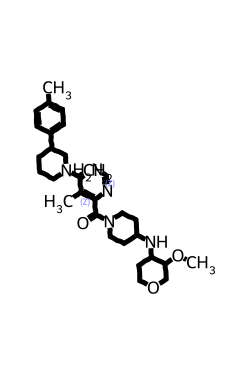 C=C(/C(C)=C(\N=C/N)C(=O)N1CCC(NC2CCOCC2OC)CC1)N1CCCC(c2ccc(C)cc2)C1